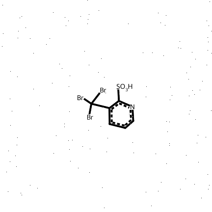 O=S(=O)(O)c1ncccc1C(Br)(Br)Br